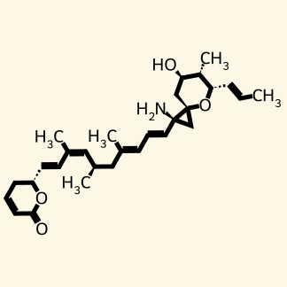 C/C=C/[C@@H]1O[C@]2(C[C@@H](O)[C@@H]1C)C[C@]2(N)/C=C/C=C(\C)C[C@@H](C)/C=C(C)\C=C\[C@H]1CC=CC(=O)O1